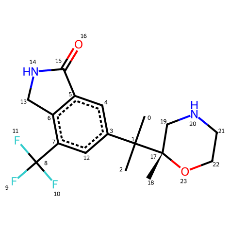 CC(C)(c1cc2c(c(C(F)(F)F)c1)CNC2=O)[C@]1(C)CNCCO1